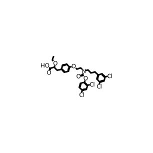 CCOC(Cc1ccc(OCCN(CCCc2cc(Cl)cc(Cl)c2)C(=O)Oc2ccc(Cl)cc2Cl)cc1)C(=O)O